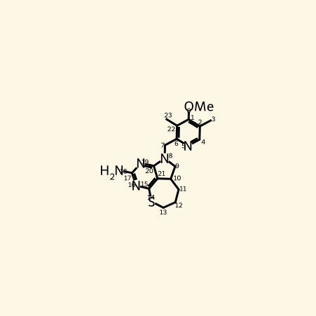 COc1c(C)cnc(CN2CC3CCCSc4nc(N)nc2c43)c1C